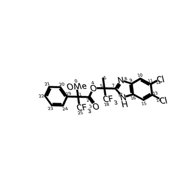 COC(C(=O)OC(C)(c1nc2cc(Cl)c(Cl)cc2[nH]1)C(F)(F)F)(c1ccccc1)C(F)(F)F